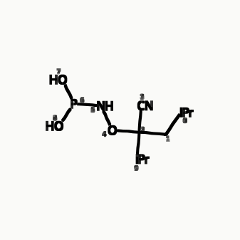 CC(C)CC(C#N)(ONP(O)O)C(C)C